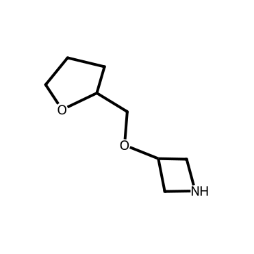 C1COC(COC2CNC2)C1